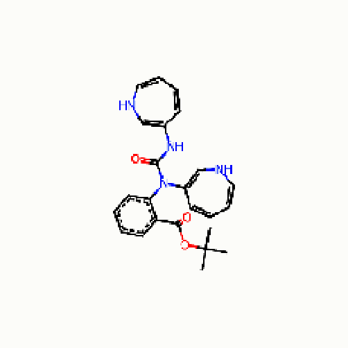 CC(C)(C)OC(=O)c1ccccc1N(C(=O)NC1=CNC=CC=C1)C1=CNC=CC=C1